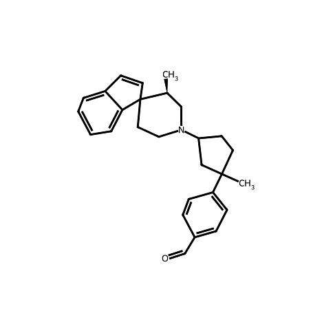 C[C@H]1CN(C2CCC(C)(c3ccc(C=O)cc3)C2)CCC12C=Cc1ccccc12